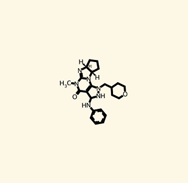 CN1C(=O)C2=C(N(CC3CCOCC3)NC2Nc2ccccc2)N2C1=N[C@@H]1CCC[C@@H]12